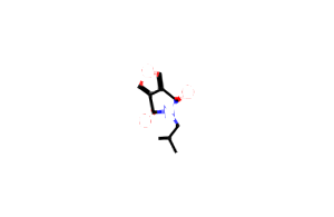 CC(C)CN1C(=O)c2cocc2C1=O